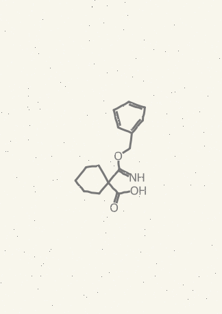 N=C(OCc1ccccc1)C1(C(=O)O)CCCCC1